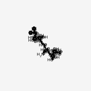 NOCC(=O)N[C@H](CCC(=O)NCCCO[C@@H]1OC(CO)[C@H](O)C(O)[C@@H]1O[C@@H]1OC(COP(=O)(OCc2ccccc2)OCc2ccccc2)[C@H](O)C(O)[C@@H]1O)C(=O)NCCCO[C@H]1OC(CO)[C@@H](O)[C@H](O)C1O[C@H]1OC(COP(=O)=O)[C@@H](O)[C@H](O)C1O